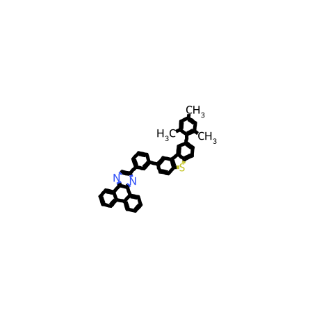 Cc1cc(C)c(-c2ccc3sc4ccc(-c5cccc(-c6cnc7c8ccccc8c8ccccc8c7n6)c5)cc4c3c2)c(C)c1